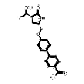 CC(C(=O)O)[C@@H]1C[C@@H](COc2ccc(-c3ccc(C(=N)N)cc3)cc2)NC1=O